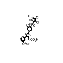 COc1ccnc(-c2nc(N3CC[C@@H](NC(=O)c4[nH]c(C)c(Cl)c4Cl)[C@@H](F)C3)sc2OC(=O)O)c1